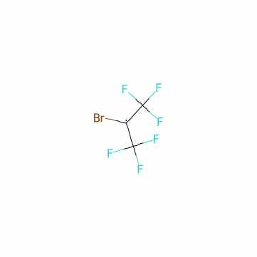 FC(F)(F)[C](Br)C(F)(F)F